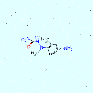 Cc1cc(N)ccc1N(C)NC(N)=O